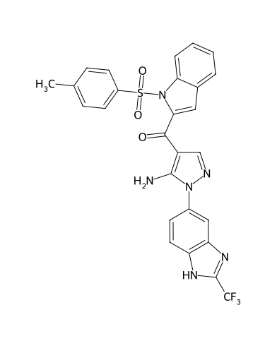 Cc1ccc(S(=O)(=O)n2c(C(=O)c3cnn(-c4ccc5[nH]c(C(F)(F)F)nc5c4)c3N)cc3ccccc32)cc1